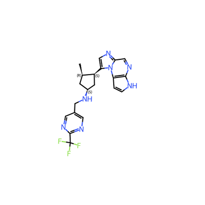 C[C@@H]1C[C@H](NCc2cnc(C(F)(F)F)nc2)C[C@@H]1c1cnc2cnc3[nH]ccc3n12